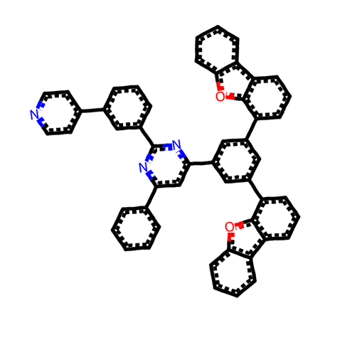 c1ccc(-c2cc(-c3cc(-c4cccc5c4oc4ccccc45)cc(-c4cccc5c4oc4ccccc45)c3)nc(-c3cccc(-c4ccncc4)c3)n2)cc1